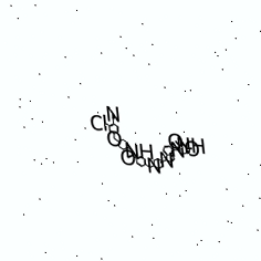 N#Cc1ccc(OC2CCC(NC(=O)c3ccc(CN4CCC(n5ccc6c(N7CCC(=O)NC7=O)cccc65)CC4)cc3)CC2)cc1Cl